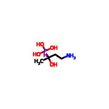 CC(O)(CCN)[PH](O)(O)O